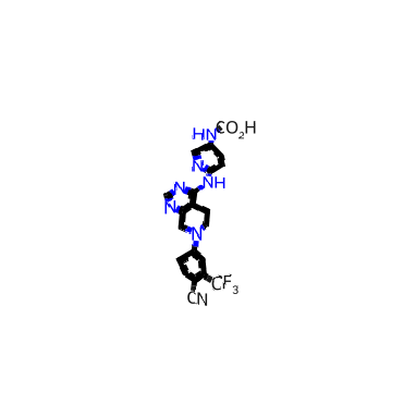 N#Cc1ccc(N2CCc3c(ncnc3Nc3ccc(NC(=O)O)cn3)C2)cc1C(F)(F)F